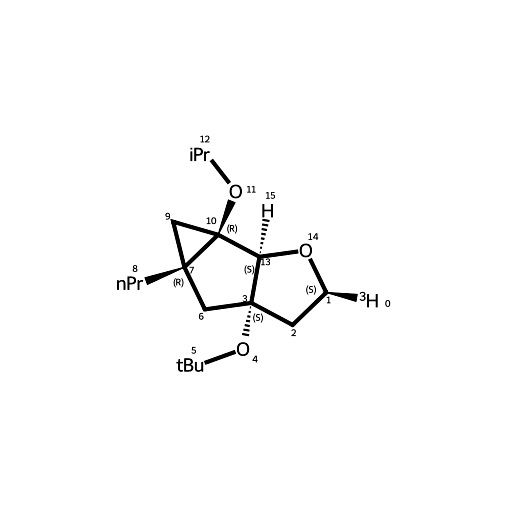 [3H][C@H]1C[C@@]2(OC(C)(C)C)C[C@]3(CCC)C[C@]3(OC(C)C)[C@H]2O1